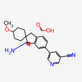 COC1CCC2(CC1)Cc1ccc(-c3cncc(C#N)c3)cc1C21COC(N)=N1.O=CO